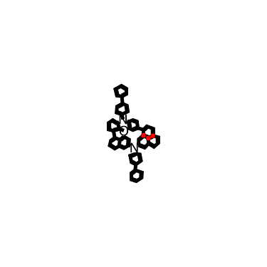 c1ccc(-c2ccc(N(c3ccc4ccccc4c3)c3cc4c5c(cccc5c3)-c3cccc(N(c5ccc(-c6ccccc6)cc5)c5ccc(-c6ccccc6)cc5)c3O4)cc2)cc1